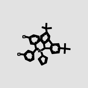 CC(C)(C)c1ccc2c(c1)-c1cc(C(C)(C)C)ccc1[CH]2[Zr](=[C](c1cccc(Cl)c1)c1cccc(Cl)c1)[CH]1C=CC=C1